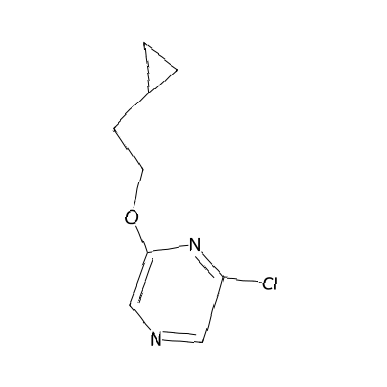 Clc1cncc(OCCC2CC2)n1